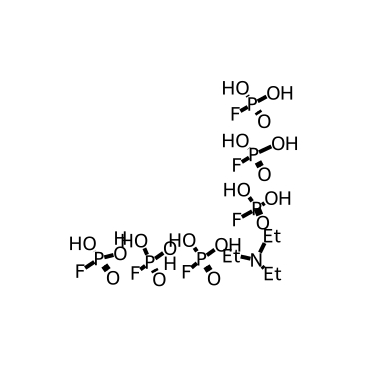 CCN(CC)CC.O=P(O)(O)F.O=P(O)(O)F.O=P(O)(O)F.O=P(O)(O)F.O=P(O)(O)F.O=P(O)(O)F